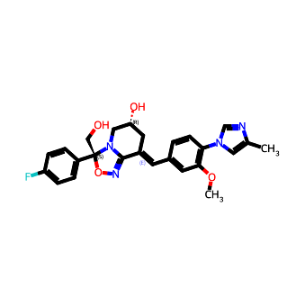 COc1cc(/C=C2\C[C@@H](O)CN3C2=NO[C@]3(CO)c2ccc(F)cc2)ccc1-n1cnc(C)c1